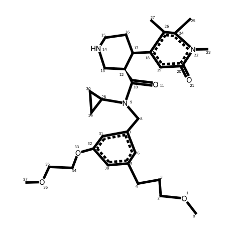 COCCCc1cc(CN(C(=O)[C@H]2CNCCC2c2cc(=O)n(C)c(C)c2C)C2CC2)cc(OCCOC)c1